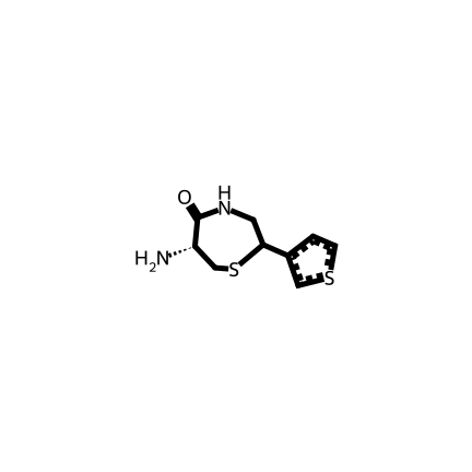 N[C@H]1CSC(c2ccsc2)CNC1=O